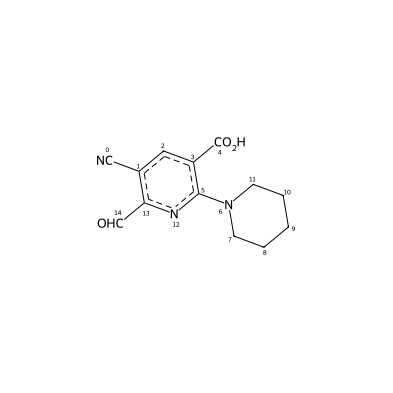 N#Cc1cc(C(=O)O)c(N2CCCCC2)nc1C=O